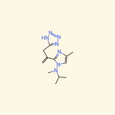 C=C(Cc1nnn[nH]1)c1nc(C)cn1N(C)C(C)C